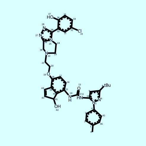 Cc1ccc(-n2nc(C(C)(C)C)cc2NC(=O)Nc2ccc(OCCN3CCn4c(nnc4-c4cc(Cl)ccc4O)C3)c3c2C(O)C=C3)cc1